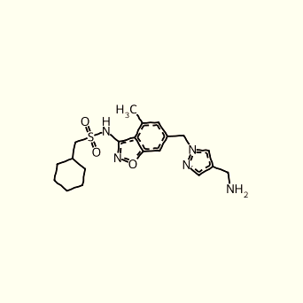 Cc1cc(Cn2cc(CN)cn2)cc2onc(NS(=O)(=O)CC3CCCCC3)c12